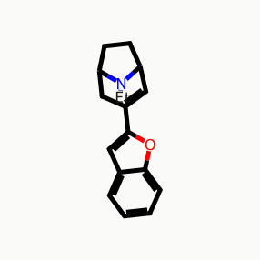 CCN1C2C=C(c3cc4ccccc4o3)CC1CC2